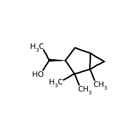 CC(O)[C@H]1CC2CC2(C)C1(C)C